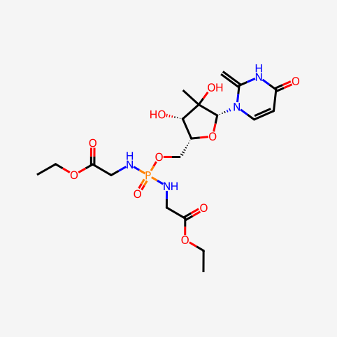 C=C1NC(=O)C=CN1[C@@H]1O[C@H](COP(=O)(NCC(=O)OCC)NCC(=O)OCC)[C@H](O)C1(C)O